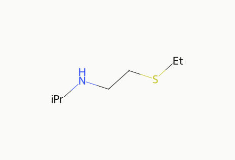 CCSCCNC(C)C